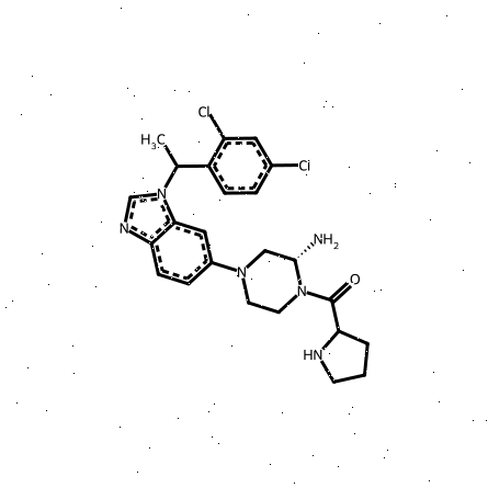 CC(c1ccc(Cl)cc1Cl)n1cnc2ccc(N3CCN(C(=O)C4CCCN4)[C@@H](N)C3)cc21